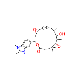 Cc1nc2cc(C3CC4OC4CCCC(C)C(O)C(C)C(=O)C(C)(C)CCC(=O)O3)ccc2n1C